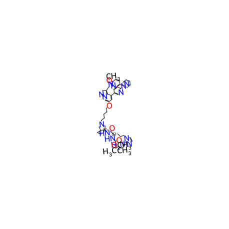 COc1ccc(CN2C3CC2CN(c2ccc(-c4cc(OCCCCCN5C[C@H](NC(=O)[C@H](CCCn6ccnc6N)NC(=O)OC(C)(C)C)C6(CC6)C5)cn5ncc(C#N)c45)cn2)C3)cn1